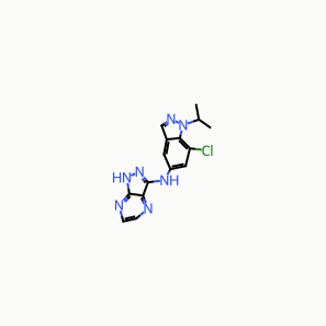 CC(C)n1ncc2cc(Nc3n[nH]c4nccnc34)cc(Cl)c21